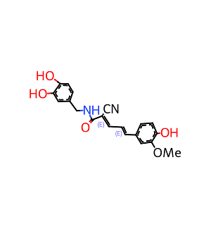 COc1cc(/C=C/C=C(\C#N)C(=O)NCc2ccc(O)c(O)c2)ccc1O